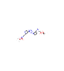 CN(CCC(=O)OC(C)(C)C)Cc1cccc(Nc2ncnc(-c3ccnc(CCCNC(=O)OC(C)(C)C)c3)n2)c1